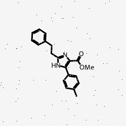 COC(=O)c1nc(CCc2ccccc2)[nH]c1-c1ccc(C)cc1